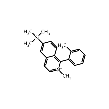 Cc1ccccc1-c1c2ccc([Si](C)(C)C)cc2cc[n+]1C